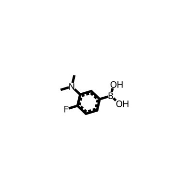 CN(C)c1cc(B(O)O)ccc1F